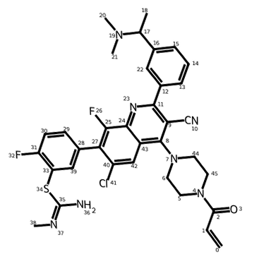 C=CC(=O)N1CCN(c2c(C#N)c(-c3cccc(C(C)N(C)C)c3)nc3c(F)c(-c4ccc(F)c(S/C(N)=N\C)c4)c(Cl)cc23)CC1